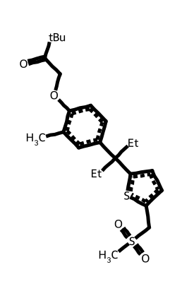 CCC(CC)(c1ccc(OCC(=O)C(C)(C)C)c(C)c1)c1ccc(CS(C)(=O)=O)s1